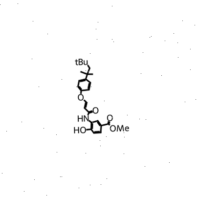 COC(=O)c1ccc(O)c(NC(=O)/C=C/Oc2ccc(C(C)(C)CC(C)(C)C)cc2)c1